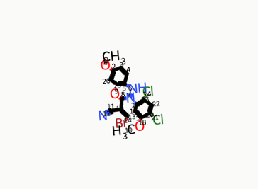 COc1ccc(NN(C(=O)C(C#N)=CBr)c2cc(OC)c(Cl)cc2Cl)cc1